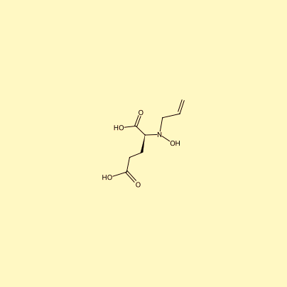 C=CCN(O)[C@@H](CCC(=O)O)C(=O)O